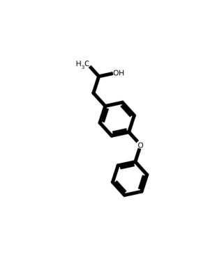 CC(O)Cc1ccc(Oc2ccccc2)cc1